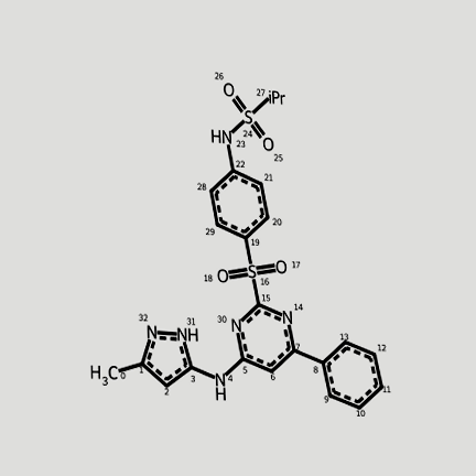 Cc1cc(Nc2cc(-c3ccccc3)nc(S(=O)(=O)c3ccc(NS(=O)(=O)C(C)C)cc3)n2)[nH]n1